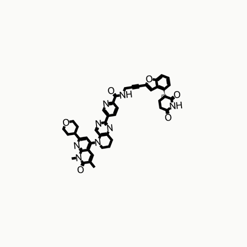 Cc1cc2c(N3CCCc4nc(-c5ccc(C(=O)NCC#Cc6cc7c([C@H]8CCC(=O)NC8=O)cccc7o6)nc5)ncc43)cc(C3CCOCC3)nc2n(C)c1=O